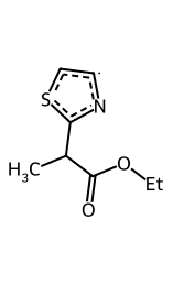 CCOC(=O)C(C)c1n[c]cs1